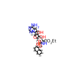 CCOC(=O)[C@H](C)N[P@](=O)(OC[C@H]1O[C@@](C)(c2ccc3c(N)ncnn23)[C@H](O)[C@@H]1O)Oc1cccc2ccccc12